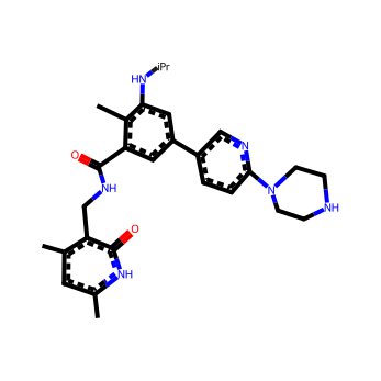 Cc1cc(C)c(CNC(=O)c2cc(-c3ccc(N4CCNCC4)nc3)cc(NC(C)C)c2C)c(=O)[nH]1